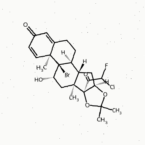 CC1(C)O[C@@H]2C[C@H]3[C@@H]4CCC5=CC(=O)C=C[C@]5(C)[C@@]4(Br)[C@@H](O)C[C@]3(C)[C@]2(C(=O)C(F)Cl)O1